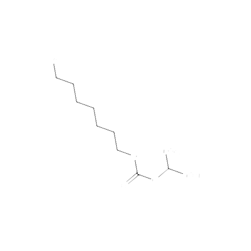 CCCCCCCCC(CCCCCCCC)OC(=O)OCCCCCCCBr